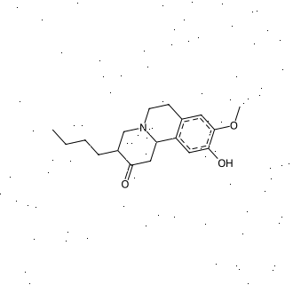 CCCCC1CN2CCc3cc(OC)c(O)cc3C2CC1=O